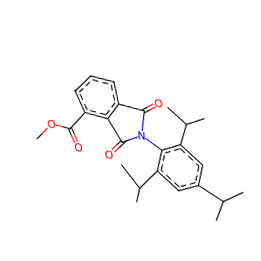 COC(=O)c1cccc2c1C(=O)N(c1c(C(C)C)cc(C(C)C)cc1C(C)C)C2=O